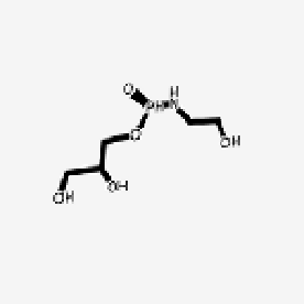 O=[PH](NCCO)OCC(O)CO